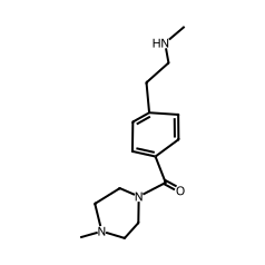 CNCCc1ccc(C(=O)N2CCN(C)CC2)cc1